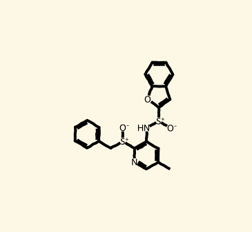 Cc1cnc([S+]([O-])Cc2ccccc2)c(N[S+]([O-])c2cc3ccccc3o2)c1